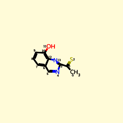 CC(=S)c1ncc2cccc(O)c2n1